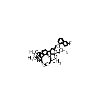 CCOC(=O)c1c(CCCOc2cccc3cc(F)ccc23)c2ccc(Cl)c3c2n1CC(C)CCOCc1nn(C)c(CC)c1-3